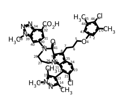 Cc1cc(OCCCc2c3n(c4c(-c5c(C)nn(C)c5C)c(Cl)ccc24)CCCN(c2cc(C(=O)O)c4nnn(C)c4c2)C3=O)cc(C)c1Cl